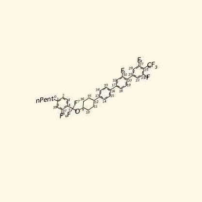 CCCCCc1ccc(C(F)(F)OC2CCC(c3ccc(-c4ccc(-c5cc(F)c(C(F)(F)F)c(F)c5)c(F)c4)cc3)CC2)c(F)c1